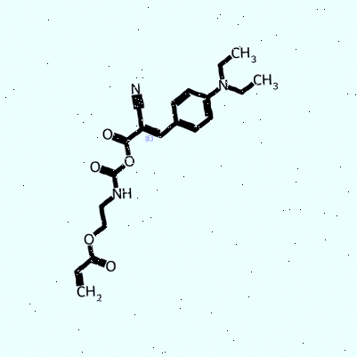 C=CC(=O)OCCNC(=O)OC(=O)/C(C#N)=C/c1ccc(N(CC)CC)cc1